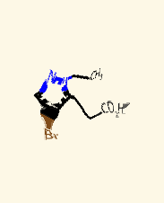 Cn1ncc(Br)c1CC(=O)O